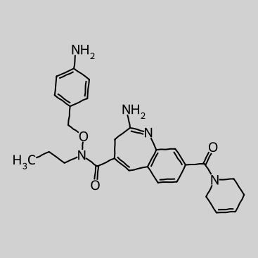 CCCN(OCc1ccc(N)cc1)C(=O)C1=Cc2ccc(C(=O)N3CC=CCC3)cc2N=C(N)C1